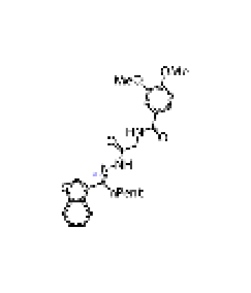 CCCCC/C(=N\NC(=O)CNC(=O)c1ccc(OC)c(OC)c1)c1csc2ccccc12